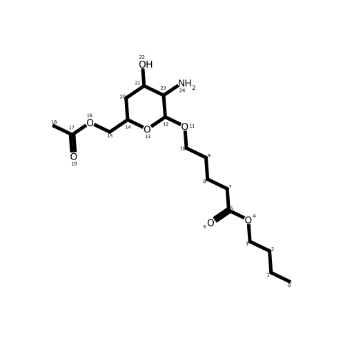 CCCCOC(=O)CCCCOC1OC(COC(C)=O)CC(O)C1N